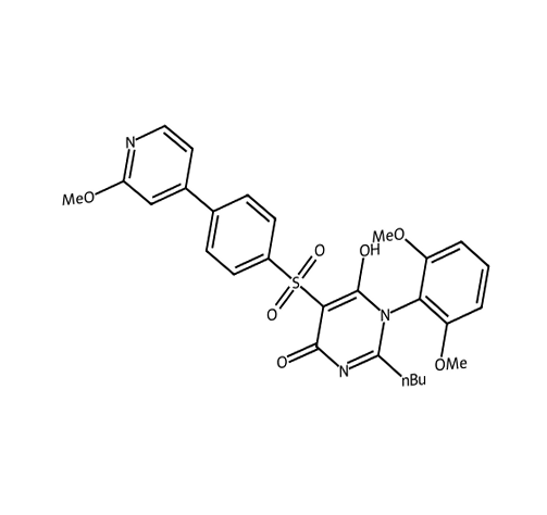 CCCCc1nc(=O)c(S(=O)(=O)c2ccc(-c3ccnc(OC)c3)cc2)c(O)n1-c1c(OC)cccc1OC